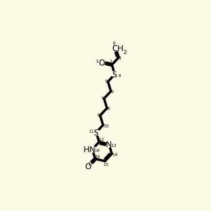 C=CC(=O)SCCCCCCSc1nccc(=O)[nH]1